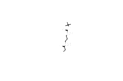 CC(C)(C)OC(=O)NCCCNC(=O)CCl